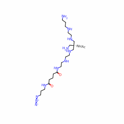 CC(=O)N[C@](CN)(CNCCNCCCN)CNCCNCCNC(=O)CCCC(=O)NCCCN=[N+]=[N-]